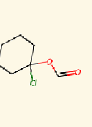 O=COC1(Cl)CCCCC1